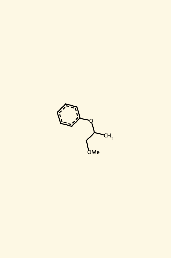 COCC(C)Oc1ccccc1